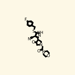 N#Cc1c(C2CN(CC(=O)N3CCOCC3)CC2=O)n[nH]c1SCc1ccc(F)cc1